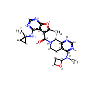 Cc1oc2ncnc(NC3(C)CC3)c2c1C(=O)N1CCc2c(ncnc2N(C)C2CCO2)C1